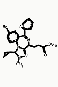 COC(=O)CCC1N=C(c2ccccn2)c2cc(Br)ccc2N2C1=NN(C)C2C1CC1